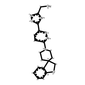 OCc1noc(-c2ccc(N3CCC4(CC3)COc3ccccc34)nn2)n1